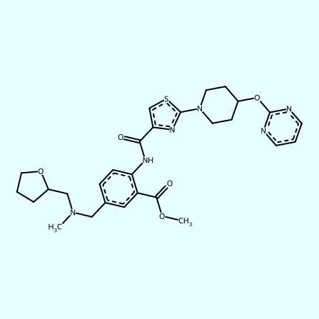 COC(=O)c1cc(CN(C)CC2CCCO2)ccc1NC(=O)c1csc(N2CCC(Oc3ncccn3)CC2)n1